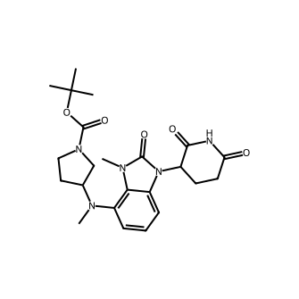 CN(c1cccc2c1n(C)c(=O)n2C1CCC(=O)NC1=O)C1CCN(C(=O)OC(C)(C)C)C1